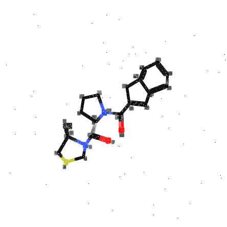 N#C[C@@H]1CSCN1C(=O)[C@@H]1CCCN1C(=O)C1=Cc2ccccc2C1